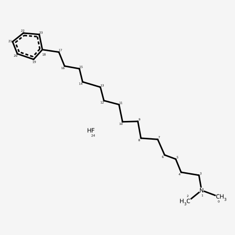 CN(C)CCCCCCCCCCCCCCCc1ccccc1.F